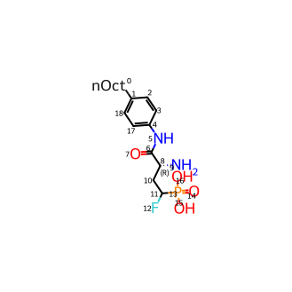 CCCCCCCCc1ccc(NC(=O)[C@H](N)CC(F)P(=O)(O)O)cc1